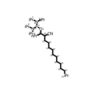 CCCC(OP(N(C(C)C)C(C)C)N(C(C)C)C(C)C)C(C#N)CCCCCCCCCCC(C)C